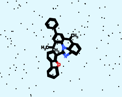 CC(C)c1cc(-c2ccccc2)cc2c1-n1c(-c3cccc4c3oc3ccccc34)nc3cccc(c31)C2C